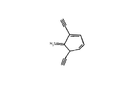 [C]#CC1=CC=CC(C#[C])C1=[SiH2]